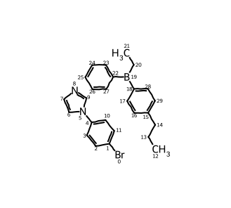 Brc1ccc(-n2ccnc2)cc1.CCCc1ccc(B(CC)c2ccccc2)cc1